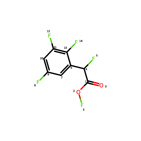 O=C(OF)C(F)c1cc(F)cc(F)c1F